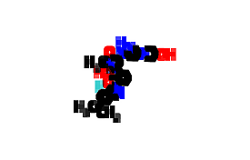 C=C(C)c1cc(F)c2c(=O)n(-c3cccc(-c4cc(Nc5ccc(N6CCC(O)CC6)cn5)c(=O)n(C)n4)c3CO)ncc2c1